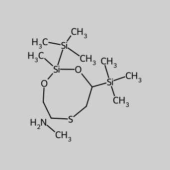 CN.C[Si](C)(C)C1CSCCO[Si](C)([Si](C)(C)C)O1